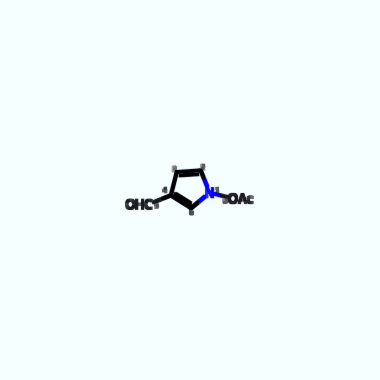 CC(=O)On1ccc(C=O)c1